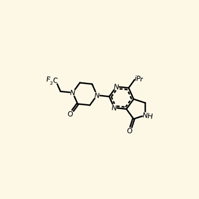 CC(C)c1nc(N2CCN(CC(F)(F)F)C(=O)C2)nc2c1CNC2=O